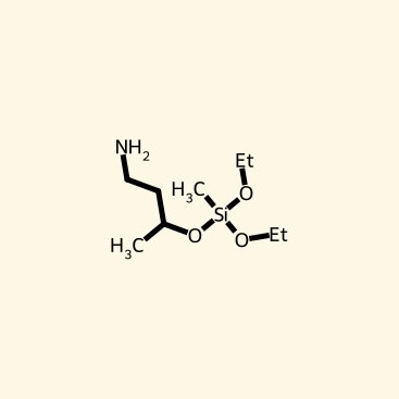 CCO[Si](C)(OCC)OC(C)CCN